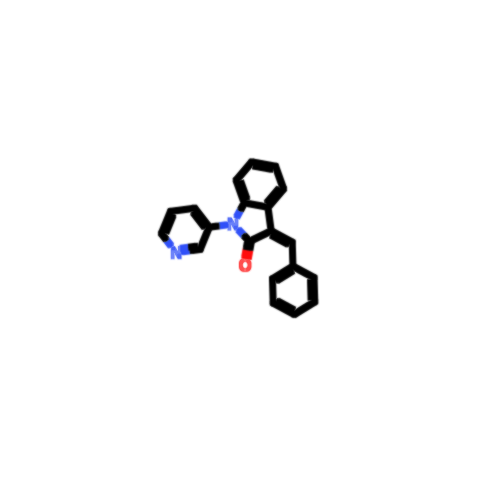 O=C1/C(=C\c2ccccc2)c2ccccc2N1c1cccnc1